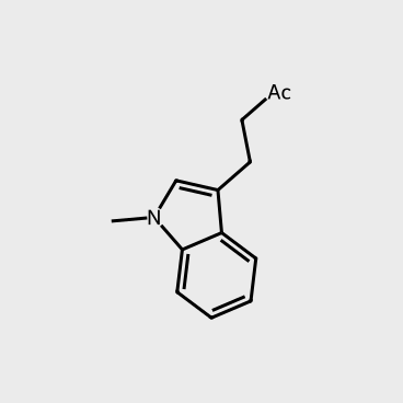 CC(=O)CCc1cn(C)c2ccccc12